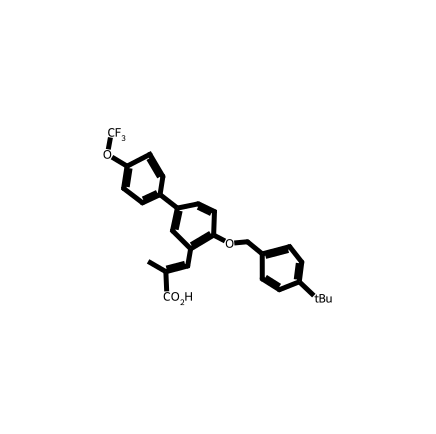 CC(=Cc1cc(-c2ccc(OC(F)(F)F)cc2)ccc1OCc1ccc(C(C)(C)C)cc1)C(=O)O